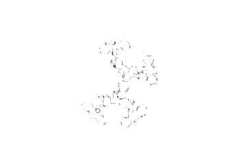 c1ccc2c(c1)Sc1ccccc1B2c1cc2c3cc(B4c5ccccc5Sc5ccccc54)nc4c5cc6c7nc(B8c9ccccc9Sc9ccccc98)cc8c9cc(B%10c%11ccccc%11Sc%11ccccc%11%10)ncc9n(c6cc5n(c2cn1)c34)c87